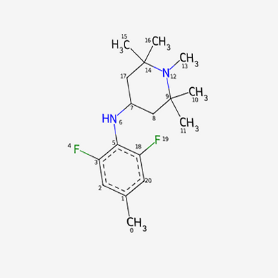 Cc1cc(F)c(NC2CC(C)(C)N(C)C(C)(C)C2)c(F)c1